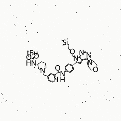 CC(C)(C)OC(=O)N[C@@H]1CCCN(Cc2ccnc(C(=O)Nc3ccc(-c4cc5c(N6C7CCC6COC7)ncnc5n4COCC[Si](C)(C)C)cc3)c2)C1